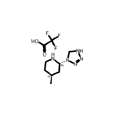 C[C@H]1CCN[C@H](N2CNN=N2)C1.O=C(O)C(F)(F)F